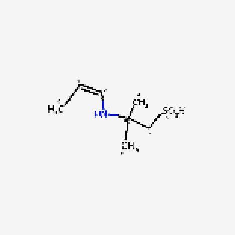 C/C=C\NC(C)(C)CS(=O)(=O)O